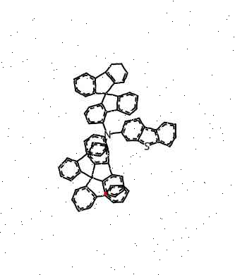 C1=CC2=C(CC1)c1ccccc1C21c2ccccc2-c2c(N(c3ccc4c(c3)-c3ccccc3C4(c3ccccc3-c3ccccc3)c3ccccc3-c3ccccc3)c3ccc4c(c3)sc3ccccc34)cccc21